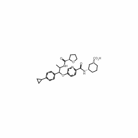 CC(NC(=O)[C@H]1CCCO1)C(Oc1ccc(C(=O)N[C@H]2CCCN(C(=O)O)C2)nc1)c1ccc(C2CC2)cc1